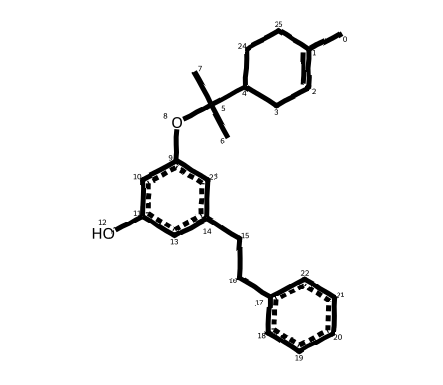 CC1=CCC(C(C)(C)Oc2cc(O)cc(CCc3ccccc3)c2)CC1